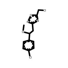 COC(Cc1noc(CCl)n1)c1ccc(Cl)cc1